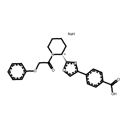 O=C(O)c1ccc(-c2csc([C@H]3CCCCN3C(=O)COc3ccccc3)n2)cc1.[NaH]